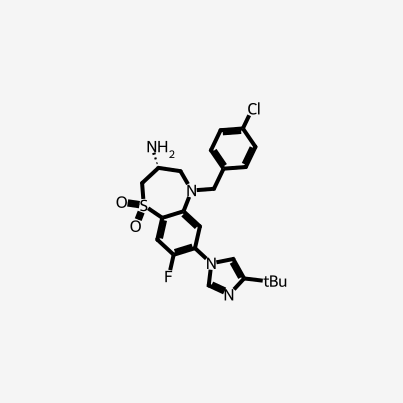 CC(C)(C)c1cn(-c2cc3c(cc2F)S(=O)(=O)C[C@H](N)CN3Cc2ccc(Cl)cc2)cn1